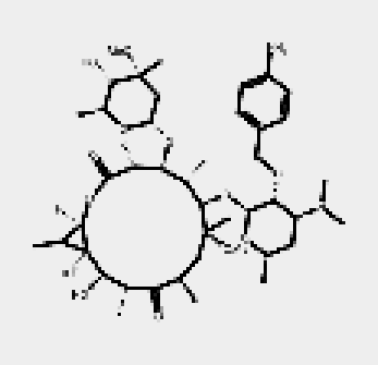 CO[C@]1(C)C[C@H](O[C@H]2[C@H](C)[C@@H](O[C@@H]3O[C@H](C)C[C@H](N(C)C)[C@H]3OCc3ccc(N)cc3)[C@@](C)(OC)C[C@@H](C)C(=O)[C@H](C)[C@@H](O)[C@@]3(O)C(C)[C@H]3OC(=O)[C@@H]2C)O[C@@H](C)[C@@H]1O